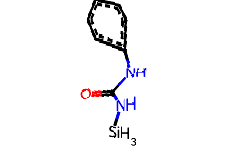 O=C(N[SiH3])Nc1ccccc1